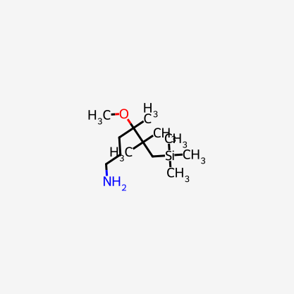 COC(C)(CCCN)C(C)(C)C[Si](C)(C)C